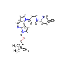 C[Si](C)(C)CCOCn1ccc2c1ncc1ccn(C3CCN(c4ccc(C#N)cn4)CC3)c12